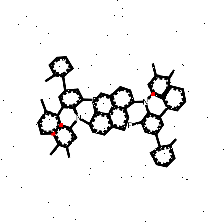 Cc1ccc(N(c2c(F)cc(-c3ccccc3C)cc2-c2ccccc2C)c2ccc3ccc4c(N(c5ccc(C)c(C)c5)c5c(F)cc(-c6ccccc6C)cc5-c5ccccc5C)ccc5ccc2c3c54)cc1C